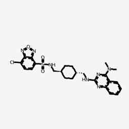 CN(C)c1nc(NC[C@H]2CC[C@H](CNS(=O)(=O)c3ccc(Cl)c4nonc34)CC2)nc2ccccc12